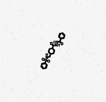 O=C(NNC(=O)C1CCC(CNS(=O)(=O)c2ccccc2)CC1)c1ccccc1